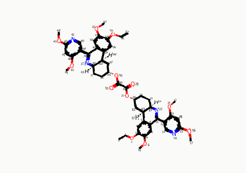 CCOc1cc2c(cc1OC)C(c1cnc(OC)cc1OC)=N[C@@H]1CC[C@@H](OC(=O)C(=O)O[C@@H]3CC[C@H]4N=C(c5cnc(OC)cc5OC)c5cc(OC)c(OCC)cc5[C@H]4C3)C[C@H]21